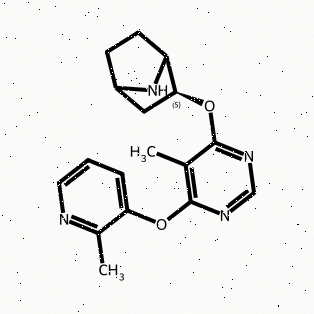 Cc1ncccc1Oc1ncnc(O[C@H]2CC3CCC2N3)c1C